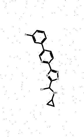 CCC(NC1CC1)c1nc(-c2ccc(-c3cccc(F)c3)cn2)no1